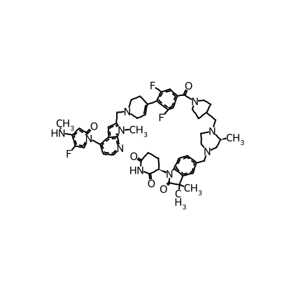 CNc1cc(=O)n(-c2ccnc3c2cc(CN2CC=C(c4c(F)cc(C(=O)N5CCC(CN6CCN(Cc7ccc8c(c7)C(C)(C)C(=O)N8[C@@H]7CCC(=O)NC7=O)C[C@@H]6C)CC5)cc4F)CC2)n3C)cc1F